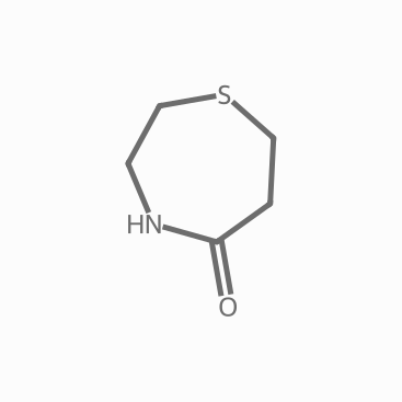 O=C1CCSCCN1